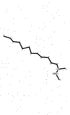 CCCCCCCCCCCCN(C)NC